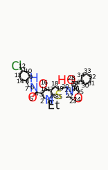 CCn1cc(C(=O)NCc2ccc(Cl)cc2)c(=O)c2cc(CN3CCOC[C@@H]3[C@@H](O)c3ccccc3)sc21